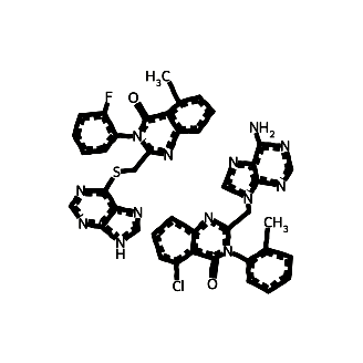 Cc1cccc2nc(CSc3ncnc4[nH]cnc34)n(-c3ccccc3F)c(=O)c12.Cc1ccccc1-n1c(Cn2cnc3c(N)ncnc32)nc2cccc(Cl)c2c1=O